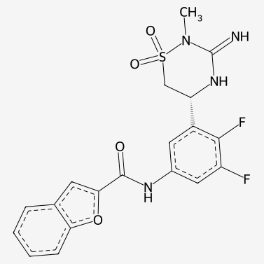 CN1C(=N)N[C@H](c2cc(NC(=O)c3cc4ccccc4o3)cc(F)c2F)CS1(=O)=O